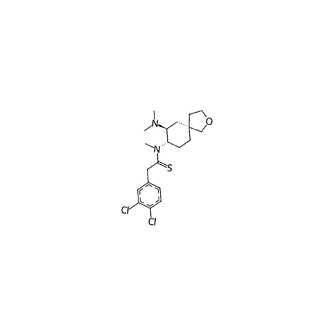 CN(C)[C@H]1C[C@@]2(CCOC2)CC[C@@H]1N(C)C(=S)Cc1ccc(Cl)c(Cl)c1